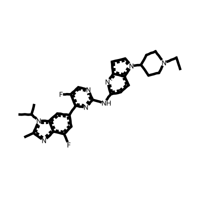 CCN1CCC(n2ccc3nc(Nc4ncc(F)c(-c5cc(F)c6nc(C)n(C(C)C)c6c5)n4)ccc32)CC1